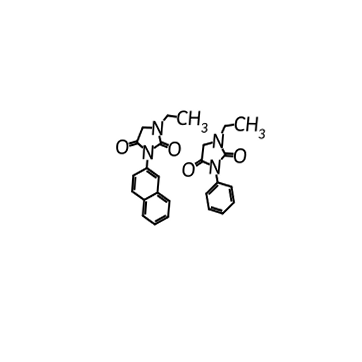 CCN1CC(=O)N(c2ccc3ccccc3c2)C1=O.CCN1CC(=O)N(c2ccccc2)C1=O